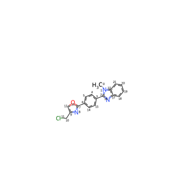 Cn1c(-c2ccc(-c3nc(CCl)co3)cc2)nc2ccccc21